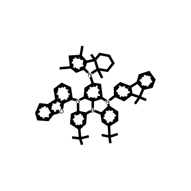 Cc1cc(C)c2c(c1)N(c1cc3c4c(c1)N(c1cccc5c1oc1ccccc15)c1ccc(C(C)(C)C)cc1B4c1cc(C(C)(C)C)ccc1N3c1ccc3c(c1)C(C)(C)c1ccccc1-3)C1(C)CCCCC21C